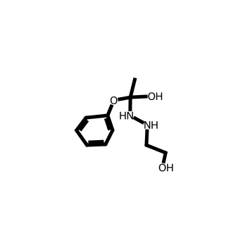 CC(O)(NNCCO)Oc1ccccc1